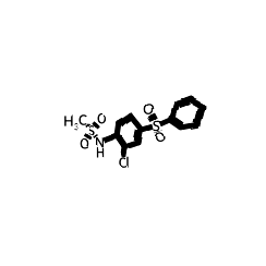 CS(=O)(=O)Nc1ccc(S(=O)(=O)c2ccccc2)cc1Cl